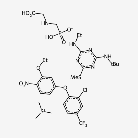 CCNc1nc(NC(C)(C)C)nc(SC)n1.CCOc1cc(Oc2ccc(C(F)(F)F)cc2Cl)ccc1[N+](=O)[O-].C[S+](C)C.O=C(O)CNCP(=O)([O-])O